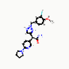 NC(=O)C(c1ccc(N2CCCC2)nc1)c1cnn(Cc2ccc(OC(F)(F)F)c(F)c2)n1